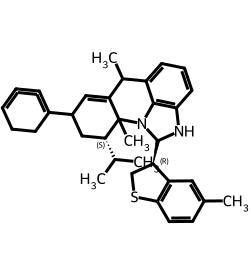 Cc1ccc2c(c1)[C@H](C1Nc3cccc4c3N1C1(C)C(=CC(C3=C=C=CCC3)C[C@H]1C(C)C)C4C)CS2